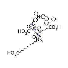 O=C(O)CCCCCCCCCCCN1C(=O)/C(=c2\s/c(=c3/s/c(=C\c4ccc5c(c4)C4CCCC4N5c4ccc(C=C(c5ccccc5)c5ccccc5)cc4)c(=O)n3CC(=O)O)c(=O)n2CCCCCC(=O)O)SC1=S